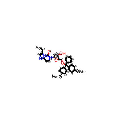 COc1ccc(C(OCC2OC(n3ccc4ncc(CC(C)=O)n4c3=O)CC2O)(c2ccccc2)c2ccc(OC)cc2)cc1